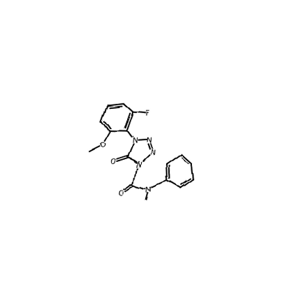 COc1cccc(F)c1-n1nnn(C(=O)N(C)c2ccccc2)c1=O